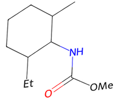 CCC1CCCC(C)C1NC(=O)OC